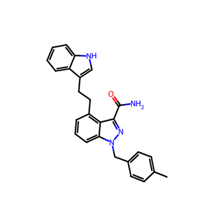 Cc1ccc(Cn2nc(C(N)=O)c3c(CCc4c[nH]c5ccccc45)cccc32)cc1